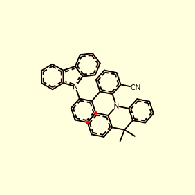 CC1(C)c2ccccc2N(c2c(C#N)cccc2-c2ccccc2-n2c3ccccc3c3ccccc32)c2ccccc21